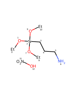 CCO[Si](CCCN)(OCC)OCC.O=[N+]([O-])O